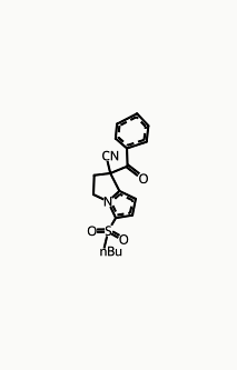 CCCCS(=O)(=O)c1ccc2n1CCC2(C#N)C(=O)c1ccccc1